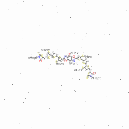 CCCCCCCN1C(=O)/C(=C/c2cc(SCCCCCC)c(-c3ccc(-c4sc(-c5nc6c(OCCCCCC)c7oc(-c8cc(SCCCCCC)c(-c9ccc(-c%10sc(/C=C%11\SC(=S)N(CCCCCCC)C%11=O)cc%10SCCCCCC)s9)s8)nc7c(CCCCC)c6o5)cc4SCCCCCC)s3)s2)SC1=S